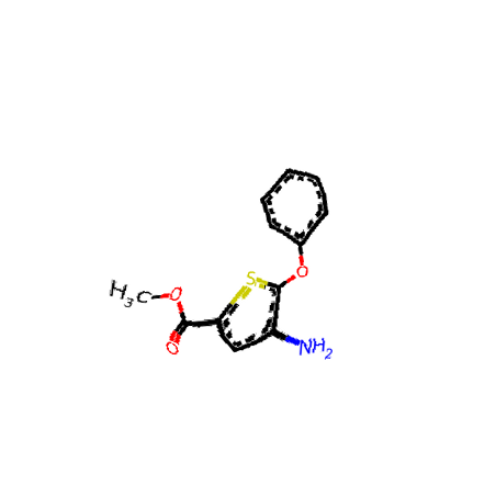 COC(=O)c1cc(N)c(Oc2ccccc2)s1